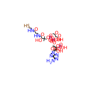 CC(=O)CC(=O)O.CC(C)(COP(=O)(O)OP(=O)(O)OC[C@H]1O[C@@H](n2cnc3c(N)ncnc32)[C@H](O)[C@@H]1OP(=O)(O)O)C(O)C(=O)NCCC(=O)NCCS